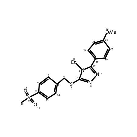 CCn1c(SCc2ccc(S(C)(=O)=O)cc2)nnc1-c1ccc(OC)cc1